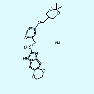 CC1(C)OCC(COc2ccnc(C[S+]([O-])c3nc4cc5c(cc4[nH]3)OCCO5)c2)CO1.[Na]